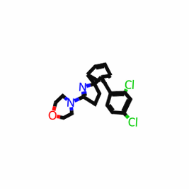 Clc1ccc(C2C3C=CC(CC3)C23CCC(N2CCOCC2)=N3)c(Cl)c1